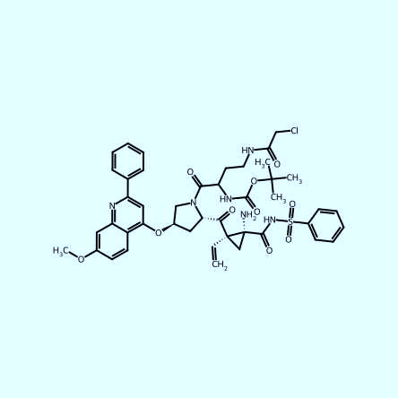 C=C[C@@]1(C(=O)[C@@H]2C[C@@H](Oc3cc(-c4ccccc4)nc4cc(OC)ccc34)CN2C(=O)C(CCNC(=O)CCl)NC(=O)OC(C)(C)C)C[C@]1(N)C(=O)NS(=O)(=O)c1ccccc1